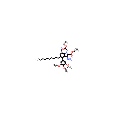 CCCCCCCCCCc1cc(C#N)c2c(c(N)c(C(=O)OCC)n2CC(=O)OCC)c1-c1cc(OC)c(OC)c(OC)c1